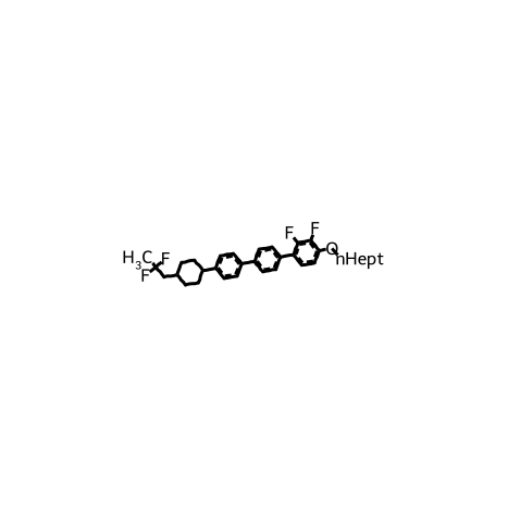 CCCCCCCOc1ccc(-c2ccc(-c3ccc(C4CCC(CC(C)(F)F)CC4)cc3)cc2)c(F)c1F